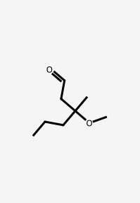 CCCC(C)(CC=O)OC